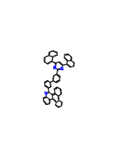 c1cc(-c2cccc(-c3nc4ccccc4c4c5ccccc5c5ccccc5c34)c2)cc(-c2nc(-c3cccc4ccccc34)cc(-c3cccc4ccccc34)n2)c1